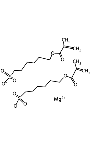 C=C(C)C(=O)OCCCCCCS(=O)(=O)[O-].C=C(C)C(=O)OCCCCCCS(=O)(=O)[O-].[Mg+2]